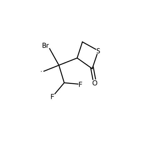 [CH2]C(Br)(C(F)F)C1CSC1=O